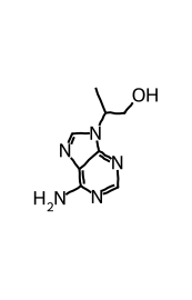 CC(CO)n1cnc2c(N)ncnc21